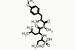 CCC(NC(CC(C)C)C(=O)N(C)C(=O)[C@@H](N)Cc1ccc(OC)cc1)P(=O)(O)O